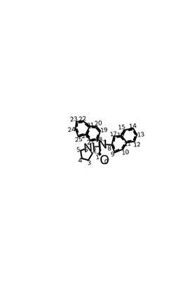 O=C([C@@H]1CCCN1)N(c1ccc2ccccc2c1)c1ccc2ccccc2c1